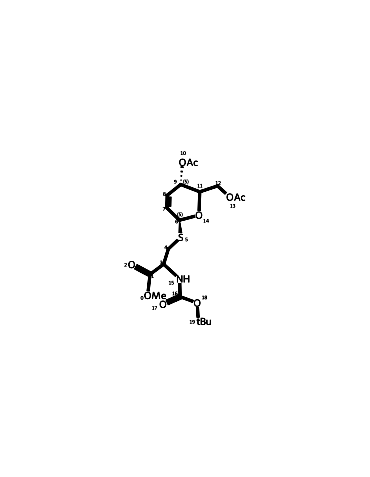 COC(=O)C(CS[C@H]1C=C[C@H](OC(C)=O)C(COC(C)=O)O1)NC(=O)OC(C)(C)C